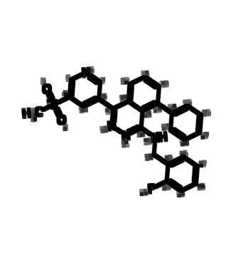 CS(=O)(=O)c1cncc(-c2nnc(NCc3ccccc3F)c3c(-c4ccccc4)cccc23)c1